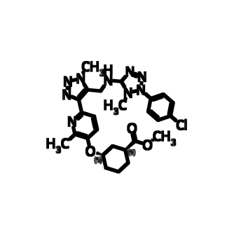 COC(=O)[C@H]1CCC[C@H](Oc2ccc(-c3nnn(C)c3CNC3N=NN(c4ccc(Cl)cc4)N3C)nc2C)C1